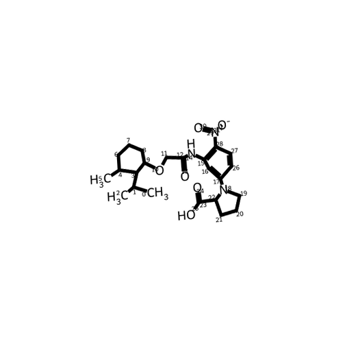 CC(C)C1C(C)CCCC1OCC(=O)Nc1cc(N2CCCC2C(=O)O)ccc1[N+](=O)[O-]